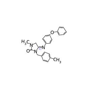 Cc1ccc(CN2C(=O)N(C)C/C2=N\c2ccc(Oc3ccccc3)cc2)cc1